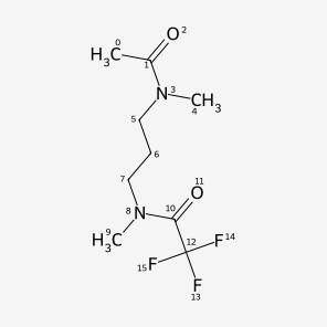 CC(=O)N(C)CCCN(C)C(=O)C(F)(F)F